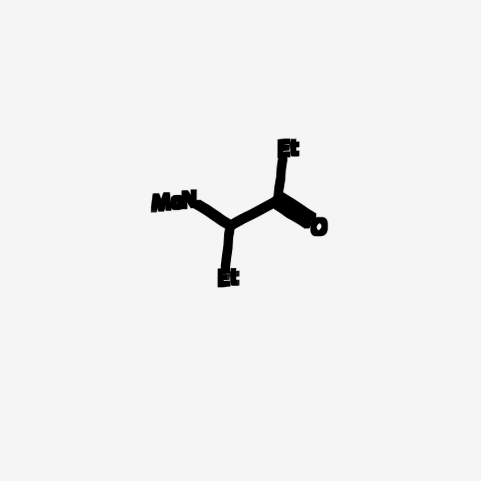 CCC(=O)C(CC)NC